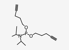 C#CCCCOP(OCCCC#C)N(C(C)C)C(C)C